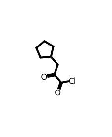 O=C(Cl)C(=O)CC1CCCC1